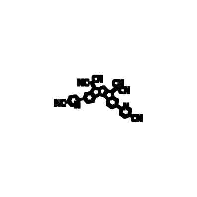 N#CC(C#N)=C1C2=C(C3=C(C2)C(=C(C#N)C#N)c2cc(-c4ccc(C#N)cn4)ccc23)c2ccc(-c3ccc(C#N)cn3)cc21